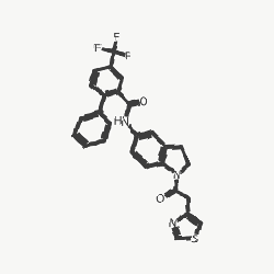 O=C(Nc1ccc2c(c1)CCN2C(=O)Cc1cscn1)c1cc(C(F)(F)F)ccc1-c1ccccc1